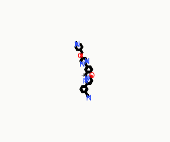 C[C@H](c1cccc(-c2ncc(OCC3CCN(C)CC3)cn2)c1)n1nc(-c2cccc(C#N)c2)ccc1=O